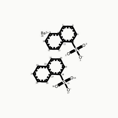 O=S(=O)([O-])c1cccc2ccccc12.O=S(=O)([O-])c1cccc2ccccc12.[Ba+2]